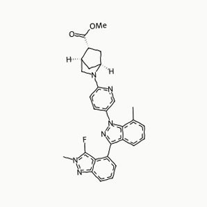 COC(=O)[C@@H]1C[C@@H]2C[C@H]1CN2c1ccc(-n2nc(-c3cccc4nn(C)c(F)c34)c3cccc(C)c32)cn1